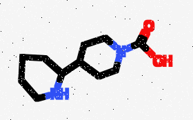 O=C(O)N1CCC(C2CCCCN2)CC1